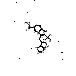 COC(=O)c1ccc2[nH]c(C(C)(C)C)c(Cc3c[nH]c4ncsc34)c2c1